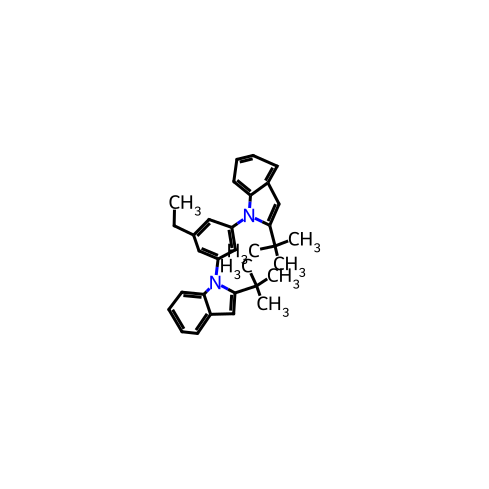 CCc1cc(-n2c(C(C)(C)C)cc3ccccc32)cc(-n2c(C(C)(C)C)cc3ccccc32)c1